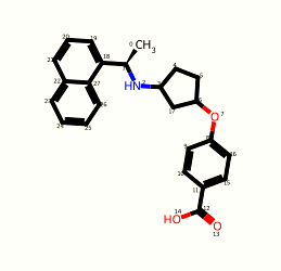 C[C@@H](NC1CCC(Oc2ccc(C(=O)O)cc2)C1)c1cccc2ccccc12